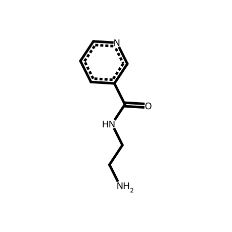 NCCNC(=O)c1cccnc1